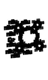 CCCCc1c(CCCC)c(CCCC)c2c(c1CCCC)-c1nc-2nc2[nH]c(nc3nc(nc4[nH]c(n1)c1ccccc41)-c1ccccc1-3)c1c(CCCC)c(CCCC)c(CCCC)c(CCCC)c21.[Cu]